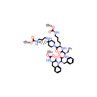 CC(C)C[C@@H](NC(=O)[C@@H](Cc1ccccc1)N1C(=O)[C@H](NC(=O)OC(C)(C)C)Cc2ccccc21)C(=O)N[C@H](CCCCNC(=O)OC(C)(C)C)C(=O)N1CCC(NCCCNC(=O)OC(C)(C)C)(C(=O)O)CC1